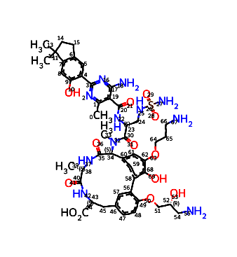 Cc1nc(-c2cc3c(cc2O)C(C)(C)CC3)nc(N)c1C(=O)N[C@@H](CNS(N)(=O)=O)C(=O)N(C)[C@@H]1C(=O)N[C@@H](C)C(=O)N[C@H](C(=O)O)Cc2ccc(OC[C@H](O)CN)c(c2)-c2cc1cc(OCCCN)c2O